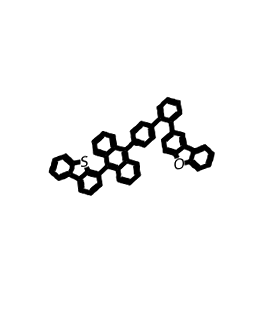 c1ccc(-c2ccc3oc4ccccc4c3c2)c(-c2ccc(-c3c4ccccc4c(-c4cccc5c4sc4ccccc45)c4ccccc34)cc2)c1